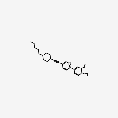 CCCCCC1CCC(C#Cc2ccc(-c3ccc(Cl)c(F)c3)nc2)CC1